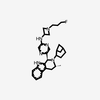 C[C@@H]1Cc2c([nH]c3ccccc23)[C@@H](c2cnc(NC3CN(CCCF)C3)cn2)N1C1CCC2CC1C2